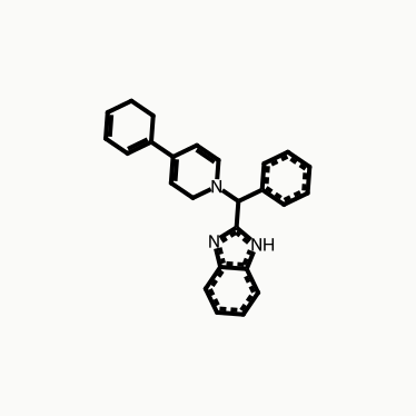 C1=CCCC(C2=CCN(C(c3ccccc3)c3nc4ccccc4[nH]3)C=C2)=C1